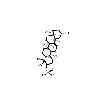 CC[Si](CC)(CC)OC1CC[C@@]2(C)C(CC[C@]3(C)C2CC=C2[C@@H]4C[C@@H](C)CC[C@]4(C=O)CC[C@@]23C)C1(C)C